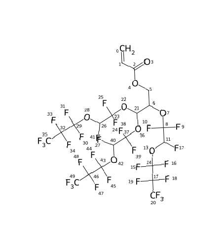 C=CC(=O)OCC(OC(F)(F)C(F)OC(F)(F)C(F)(F)C(F)(F)F)C(OC(F)(F)C(F)OC(F)(F)C(F)(F)C(F)(F)F)OC(F)(F)C(F)OC(F)(F)C(F)(F)C(F)(F)F